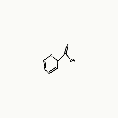 OC(=S)C1C=CC=CO1